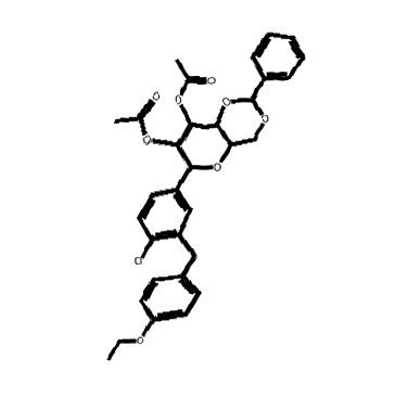 CCOc1ccc(Cc2cc(C3OC4COC(c5ccccc5)OC4C(OC(C)=O)C3OC(C)=O)ccc2Cl)cc1